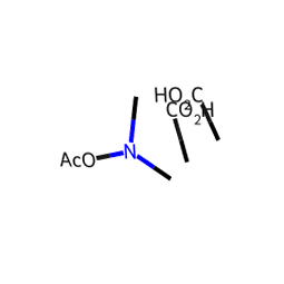 CC(=O)O.CC(=O)O.CC(=O)ON(C)C